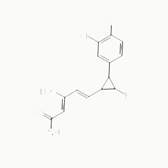 CC(C=CC1C(F)C1c1ccc(Cl)c(Cl)c1)=CC(N)=O